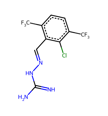 N=C(N)N/N=C/c1c(C(F)(F)F)ccc(C(F)(F)F)c1Cl